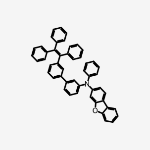 c1ccc(C(=C(c2ccccc2)c2cccc(-c3cccc(N(c4ccccc4)c4ccc5c(c4)oc4ccccc45)c3)c2)c2ccccc2)cc1